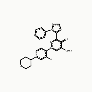 [11CH3]Oc1cn(-c2ccc(C3CCOCC3)cc2F)nc(-c2ccnn2-c2ccccc2)c1=O